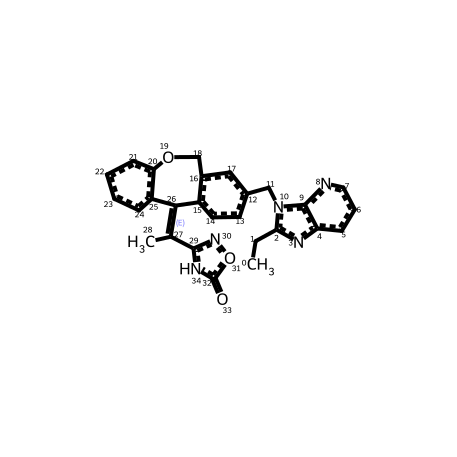 CCc1nc2cccnc2n1Cc1ccc2c(c1)COc1ccccc1/C2=C(\C)c1noc(=O)[nH]1